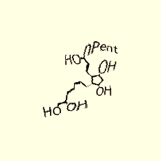 CCCCC[C@H](O)C=C[C@@H]1[C@@H](C/C=C\CCC(O)CO)[C@@H](O)C[C@H]1O